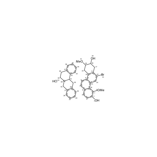 COc1c(O)ccc2ccc3c4c(c(Br)cc3c12)CC(O)C(OC)C4.Cl.c1ccc2c(c1)CC1c3ccccc3CCN1C2